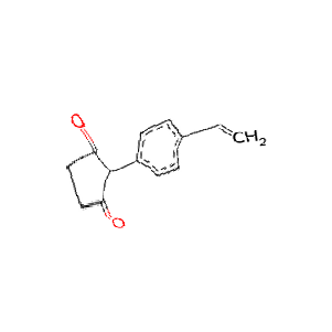 C=Cc1ccc(C2C(=O)CCC2=O)cc1